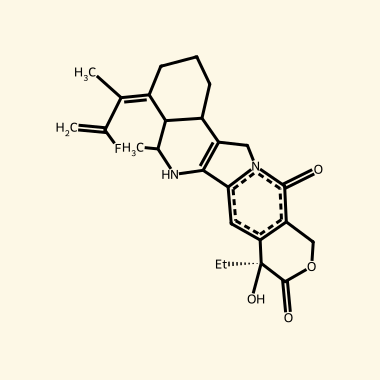 C=C(F)/C(C)=C1/CCCC2C3=C(NC(C)C12)c1cc2c(c(=O)n1C3)COC(=O)[C@]2(O)CC